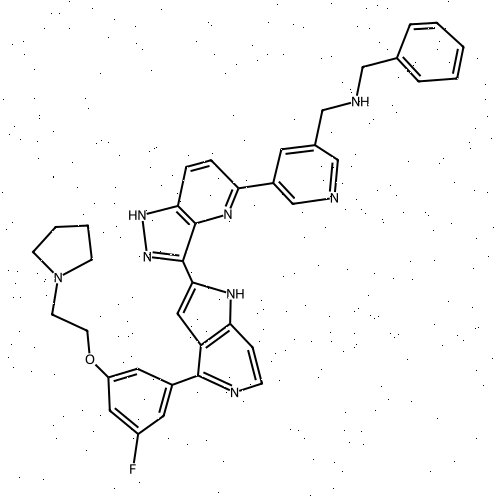 Fc1cc(OCCN2CCCC2)cc(-c2nccc3[nH]c(-c4n[nH]c5ccc(-c6cncc(CNCc7ccccc7)c6)nc45)cc23)c1